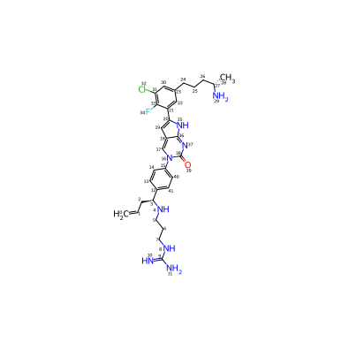 C=CC[C@H](NCCCNC(=N)N)c1ccc(-n2cc3cc(-c4cc(CCC[C@H](C)N)cc(Cl)c4F)[nH]c3nc2=O)cc1